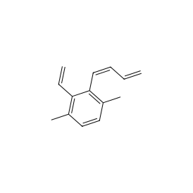 C=C/C=C\c1c(C)ccc(C)c1C=C